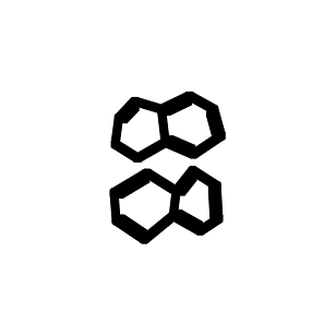 C1=Cc2ccccc2CC1.c1ccc2ccccc2c1